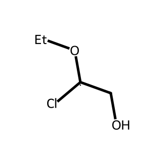 CCO[C](Cl)CO